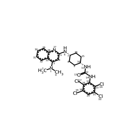 CN(C)c1cc(N[C@H]2CC[C@@H](NC(=O)Nc3c(Cl)c(Cl)cc(Cl)c3Cl)CC2)nc2ccccc12